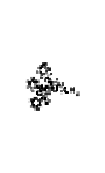 C=CC[C@H]1C[C@@H](OCc2ccccc2)[C@@H](C(COC(=O)c2ccccc2)OC(=O)c2ccccc2)O1